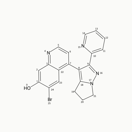 Oc1cc2nccc(-c3c(-c4ccccn4)nn4c3CCC4)c2cc1Br